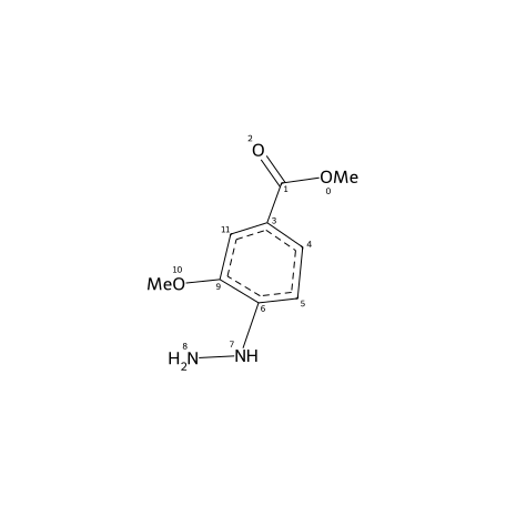 COC(=O)c1ccc(NN)c(OC)c1